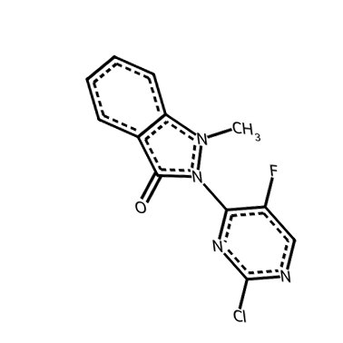 Cn1c2ccccc2c(=O)n1-c1nc(Cl)ncc1F